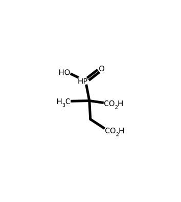 CC(CC(=O)O)(C(=O)O)[PH](=O)O